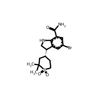 CC1(C)C[C@H](C2CNc3c(C(N)=O)cc(Br)cc32)CCS1(=O)=O